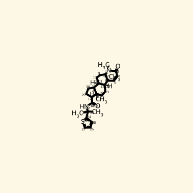 CN1C(=O)C=C[C@@]2(C)C1CC[C@@H]1[C@H]2CC[C@]2(C)C(C(=O)NC(C)(C)c3cccs3)CC[C@@H]12